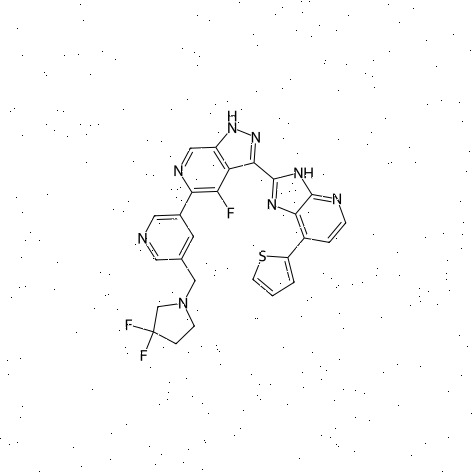 Fc1c(-c2cncc(CN3CCC(F)(F)C3)c2)ncc2[nH]nc(-c3nc4c(-c5cccs5)ccnc4[nH]3)c12